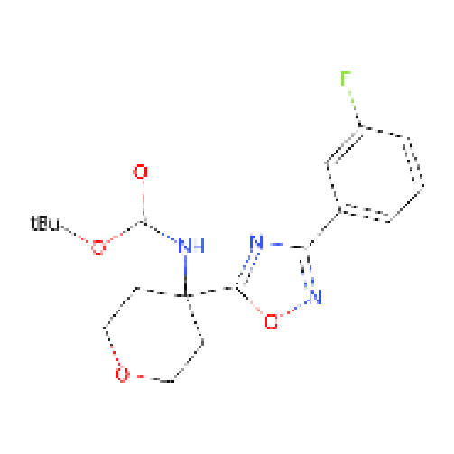 CC(C)(C)OC(=O)NC1(c2nc(-c3cccc(F)c3)no2)CCOCC1